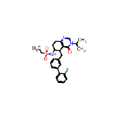 CCS(=O)(=O)NC1CCc2ncn(C(C)C)c(=O)c2C1Cc1cccc(-c2ccccc2F)c1